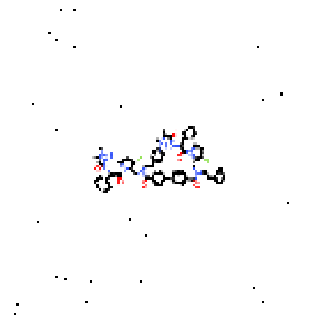 CN[C@@H](C)C(=O)N[C@H](C(=O)N1CC[C@H](F)[C@H]1CN(CCc1ccccc1)C(=O)c1ccc(-c2ccc(C(=O)N(CCc3ccccc3)C[C@@H]3[C@@H](F)CCN3C(=O)[C@@H](NC(=O)[C@H](C)NC)C3CCCCC3)cc2)cc1)C1CCCCC1